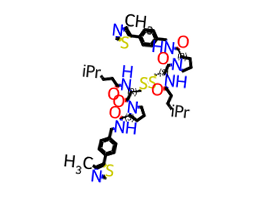 Cc1ncsc1-c1ccc(CNC(=O)[C@H]2CCCN2C(=O)[C@@H](CSSC[C@H](NC(=O)CCC(C)C)C(=O)N2CCC[C@H]2C(=O)NCc2ccc(-c3scnc3C)cc2)NC(=O)CCC(C)C)cc1